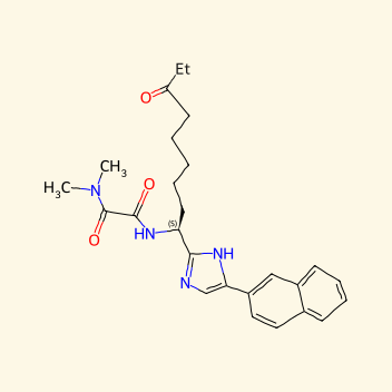 CCC(=O)CCCCC[C@H](NC(=O)C(=O)N(C)C)c1ncc(-c2ccc3ccccc3c2)[nH]1